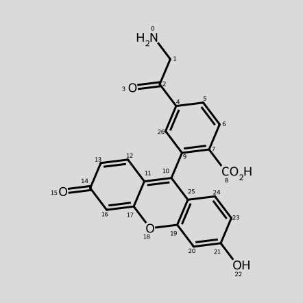 NCC(=O)c1ccc(C(=O)O)c(-c2c3ccc(=O)cc-3oc3cc(O)ccc23)c1